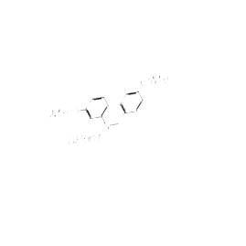 CCCCCN(Cc1ccc(OC)cc1)c1cccc(OC)c1